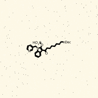 CCCCCCCCCCCCCCCCCC(=O)c1c(OC(=O)O)n(Cc2cccnc2)c2ccccc12